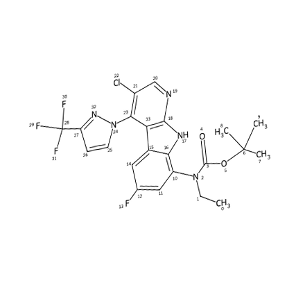 CCN(C(=O)OC(C)(C)C)c1cc(F)cc2c1[nH]c1ncc(Cl)c(-n3ccc(C(F)(F)F)n3)c12